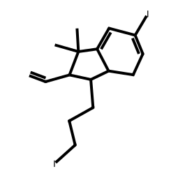 C=CC1C(CCCI)C2CC=C(I)C=C2C1(C)C